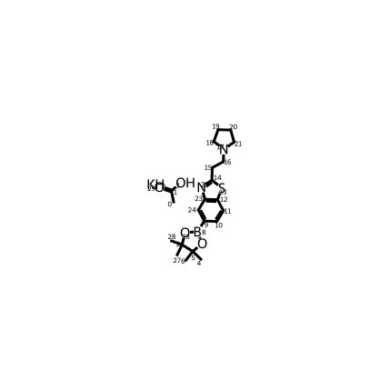 CC(=O)O.CC1(C)OB(c2ccc3sc(CCN4CCCC4)nc3c2)OC1(C)C.[KH]